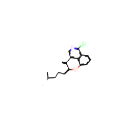 C=C1/C(=C\CCC(C)C(F)(F)F)Oc2cccc3c(Cl)ncc1c23